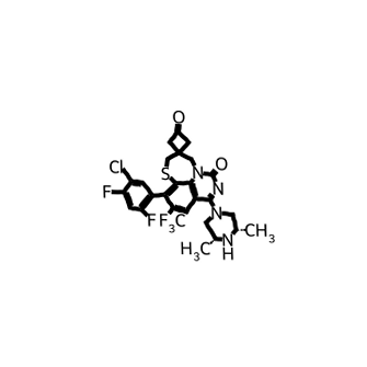 C[C@@H]1CN(c2nc(=O)n3c4c(c(-c5cc(Cl)c(F)cc5F)c(C(F)(F)F)cc24)SCC2(CC(=O)C2)C3)C[C@H](C)N1